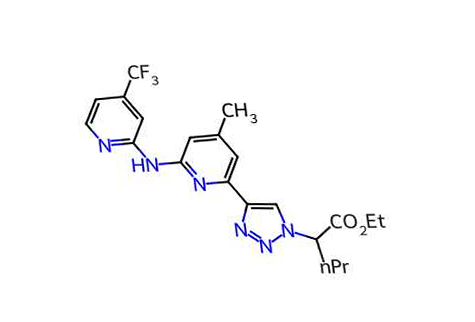 CCCC(C(=O)OCC)n1cc(-c2cc(C)cc(Nc3cc(C(F)(F)F)ccn3)n2)nn1